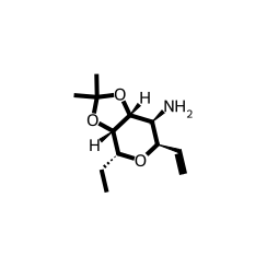 C=C[C@H]1O[C@H](CC)[C@@H]2OC(C)(C)O[C@@H]2[C@H]1N